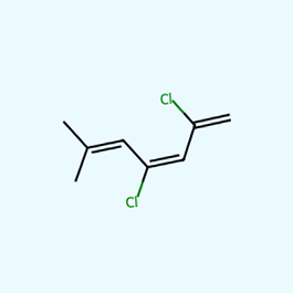 C=C(Cl)/C=C(/Cl)C=C(C)C